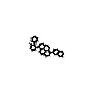 C1=CC2=C(c3ccc4ccccc4c3)C=CC3=CC=C4C(c5cccc6oc7ccccc7c56)=CC=C1C4C32